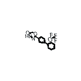 O=C1COC(c2ccc(-c3ccccc3OC(F)(F)F)cc2)=NN1